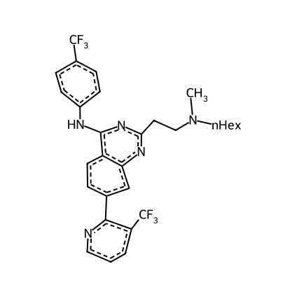 CCCCCCN(C)CCc1nc(Nc2ccc(C(F)(F)F)cc2)c2ccc(-c3ncccc3C(F)(F)F)cc2n1